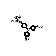 CC(C)(C)c1ccc([S+](c2ccc(C(C)(C)C)cc2)c2ccc(C(C)(C)C)cc2)cc1.CCCS(=O)(=O)[O-]